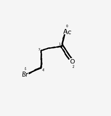 CC(=O)C(=O)CCBr